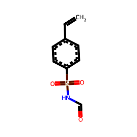 C=Cc1ccc(S(=O)(=O)NC=O)cc1